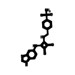 NS(=O)(=O)c1ccc(CNc2c(Nc3ccc4[nH]cnc4c3)c(=O)c2=O)cc1